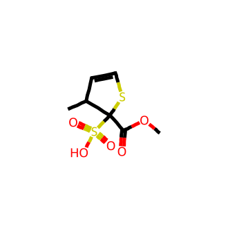 COC(=O)C1(S(=O)(=O)O)SC=CC1C